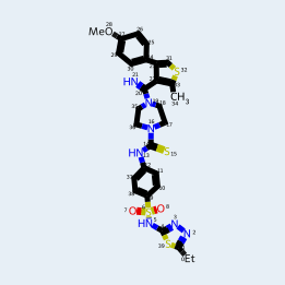 CCc1nnc(NS(=O)(=O)c2ccc(NC(=S)N3CCN(C(=N)c4c(-c5ccc(OC)cc5)csc4C)CC3)cc2)s1